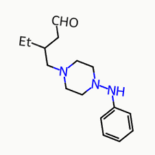 CCC(CC=O)CN1CCN(Nc2ccccc2)CC1